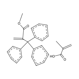 C=C(C(=O)OC)C(c1ccccc1)(c1ccccc1)c1ccccc1.C=C(C)C(=O)O